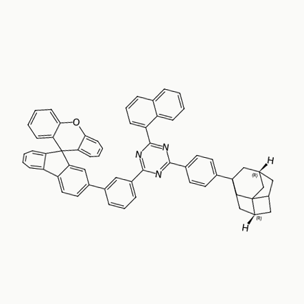 c1cc(-c2ccc3c(c2)C2(c4ccccc4Oc4ccccc42)c2ccccc2-3)cc(-c2nc(-c3ccc(C45C[C@@H]6CC7C[C@H](C4)C7(C6)C5)cc3)nc(-c3cccc4ccccc34)n2)c1